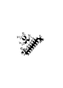 CC[N+](CC)(CC)CC.O=S(=O)([O-])C(F)(F)C(F)(F)C(F)(F)C(F)(F)C(F)(F)C(F)(F)C(F)(F)CC(F)(F)F